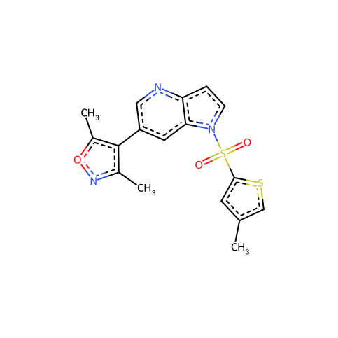 Cc1csc(S(=O)(=O)n2ccc3ncc(-c4c(C)noc4C)cc32)c1